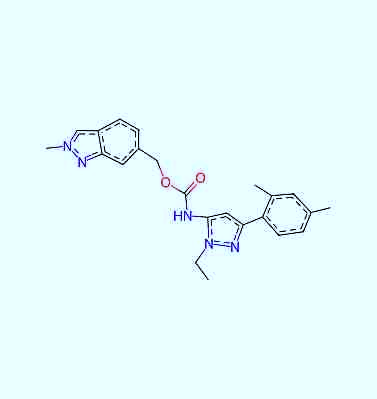 CCn1nc(-c2ccc(C)cc2C)cc1NC(=O)OCc1ccc2cn(C)nc2c1